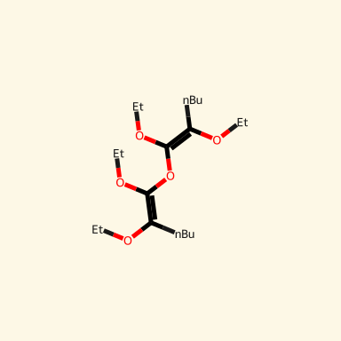 CCCCC(OCC)=C(OCC)OC(OCC)=C(CCCC)OCC